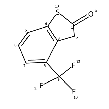 O=C1Cc2c(cccc2C(F)(F)F)S1